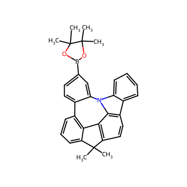 CC1(C)c2cccc3c2-c2c1ccc1c4ccccc4n(c21)-c1cc(B2OC(C)(C)C(C)(C)O2)ccc1-3